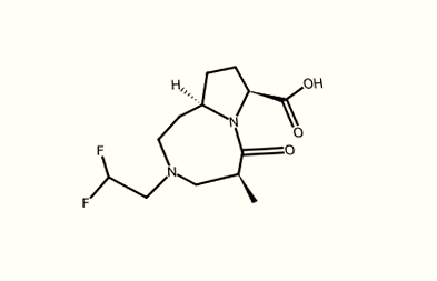 C[C@H]1CN(CC(F)F)CC[C@H]2CC[C@@H](C(=O)O)N2C1=O